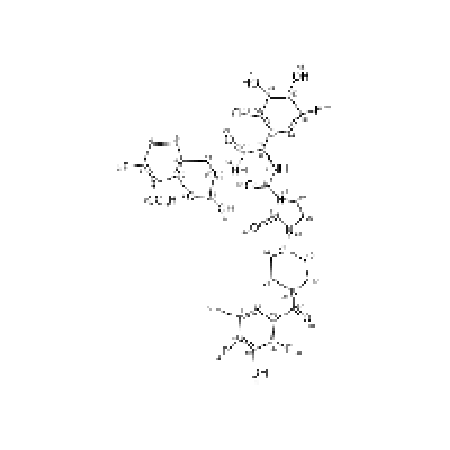 O=C(O)c1c(F)ccc2c1OB(O)[C@@H](NC(=O)[C@H](NC(=O)N1CCN(C3CCN(C(=O)c4cc(F)c(F)c(O)c4F)CC3)C1=O)c1cc(F)c(O)c(O)c1Cl)C2